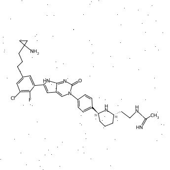 CC(=N)NCC[C@@H]1CCC[C@@H](c2ccc(-n3cc4cc(-c5cc(CCCC6(N)CC6)cc(Cl)c5F)[nH]c4nc3=O)cc2)N1